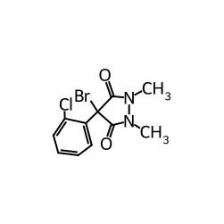 CN1C(=O)C(Br)(c2ccccc2Cl)C(=O)N1C